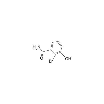 NC(=O)c1cccc(O)c1Br